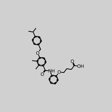 Cc1c(OCc2ccc(C(C)C)cc2)ccc(C(=O)Nc2ccccc2OCCCC(=O)O)c1C